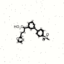 CS(=O)(=O)c1ccc(-c2cccc(C(CCc3ncco3)C(=O)O)c2)cc1